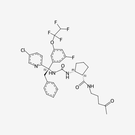 CC(=O)CCCNC(=O)[C@H]1CCC[C@H]1NC(=O)N[C@@](Cc1ccccc1)(c1cc(F)cc(OC(F)(F)C(F)F)c1)c1ccc(Cl)cn1